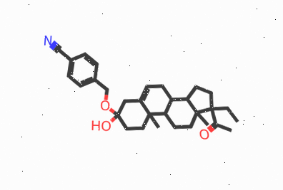 CCC1(C(C)=O)CCC2C3CC=C4CC(O)(OCc5ccc(C#N)cc5)CCC4(C)C3CCC21C